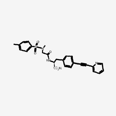 Cc1ccc(S(=O)(=O)N(C)CC(=O)N[C@@H](Cc2ccc(C#Cc3ccccn3)cc2)C(=O)O)cc1